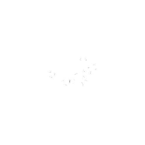 C=C(/C=C\c1cc2c(s1)C1C3=CCCC=C3N(C/N=C3/C=CC=C/C3=C(/N)C3C=CC=CC3)C1C=C2)CCc1ccccc1